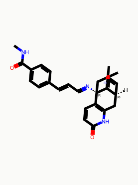 C/C=C1\[C@H]2C=C(C)C[C@]1(N=CC=Cc1ccc(C(=O)NC)cc1)c1ccc(=O)[nH]c1C2